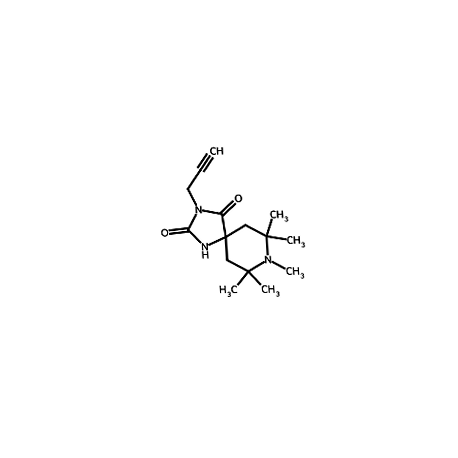 C#CCN1C(=O)NC2(CC(C)(C)N(C)C(C)(C)C2)C1=O